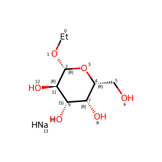 CCO[C@@H]1O[C@H](CO)[C@H](O)[C@H](O)[C@H]1O.[NaH]